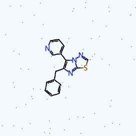 [c]1nn2c(-c3cccnc3)c(Cc3ccccc3)nc2s1